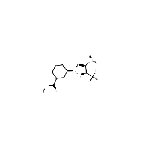 COC(=O)C1CCCC(n2cc([N+](=O)[O-])c(C(F)(F)F)n2)C1